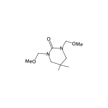 COCN1CC(C)(C)CN(COC)C1=O